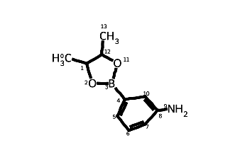 CC1OB(c2cccc(N)c2)OC1C